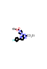 CCOC(=O)c1nc(N2CCN(C(=O)OC(C)(C)C)CC2)c2nc(-c3ccc(F)cc3)ccc2n1